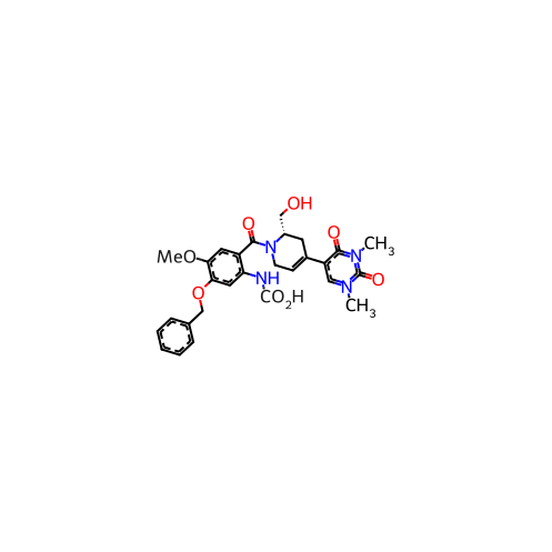 COc1cc(C(=O)N2CC=C(c3cn(C)c(=O)n(C)c3=O)C[C@H]2CO)c(NC(=O)O)cc1OCc1ccccc1